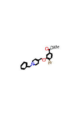 COC(=O)c1ccc(Br)c(OCC2=CCN(Cc3ccccc3)CC2)c1